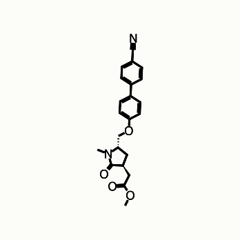 COC(=O)C[C@@H]1C[C@@H](COc2ccc(-c3ccc(C#N)cc3)cc2)N(C)C1=O